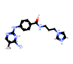 N#Cc1cnc(Nc2ccc(C(=O)NCCCn3ccnc3)cc2)nc1N